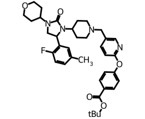 Cc1ccc(F)c(C2CN(C3CCOCC3)C(=O)N2C2CCN(Cc3ccc(Oc4ccc(C(=O)OC(C)(C)C)cc4)nc3)CC2)c1